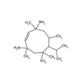 CC(C)C1C(C)CC(C)(N)/C=C\C(C)(N)CC1(C)C